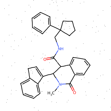 CN1C(=O)c2ccccc2C(C(=O)NCC2(c3ccccc3)CCCC2)C1C1=CCc2ccccc21